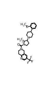 COc1ccccc1C1CCN(C2CCN(C(=O)N3CCc4ncc(C(F)(F)F)cc4C3)[C@H]2C)CC1